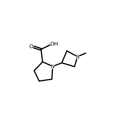 CN1CC(N2CCCC2C(=O)O)C1